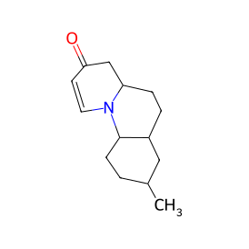 CC1CCC2C(CCC3CC(=O)C=CN32)C1